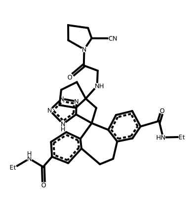 CCNC(=O)c1ccc2c(c1)CCc1cc(C(=O)NCC)ccc1C2(CC1(NCC(=O)N2CCCC2C#N)CCCC1)c1nnn[nH]1